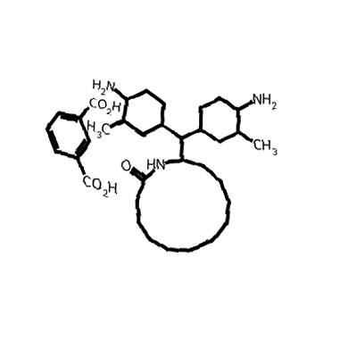 CC1CC(C(C2CCC(N)C(C)C2)C2CCCCCCCCCCC(=O)N2)CCC1N.O=C(O)c1cccc(C(=O)O)c1